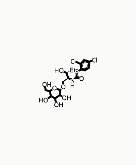 CC[C@@H](O)[C@H](COC1OC(CO)C(O)C(O)C1O)NC(=O)Sc1ccc(Cl)cc1Cl